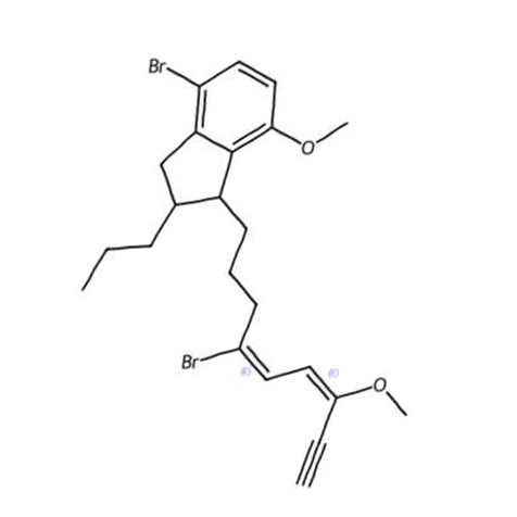 C#C/C(=C\C=C(\Br)CCCC1c2c(OC)ccc(Br)c2CC1CCC)OC